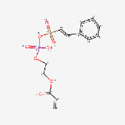 C=CC(=O)OCCOP(=O)(O)OS(=O)(=O)C=Cc1ccccc1